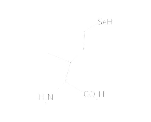 CC(CC[SeH])C(N)C(=O)O